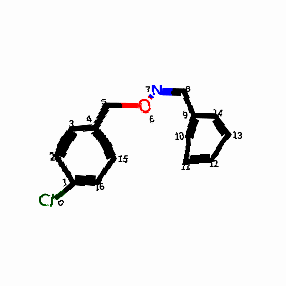 Clc1ccc(CO/N=[C]\c2ccccc2)cc1